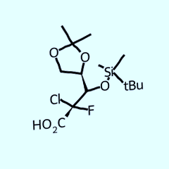 CC1(C)OC[C@H](C(O[Si](C)(C)C(C)(C)C)[C@](F)(Cl)C(=O)O)O1